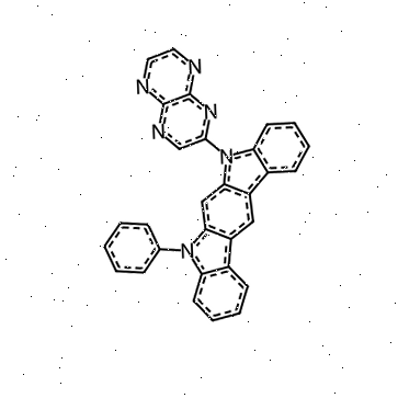 c1ccc(-n2c3ccccc3c3cc4c5ccccc5n(-c5cnc6nccnc6n5)c4cc32)cc1